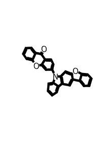 O=c1c2ccccc2oc2cc(-n3c4ccccc4c4cc5c(cc43)oc3ccccc35)ccc12